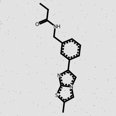 CCC(=O)NCc1cccc(-c2cn3cc(C)sc3n2)c1